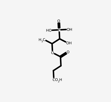 CC(OC(=O)CCC(=O)O)C(O)P(=O)(O)O